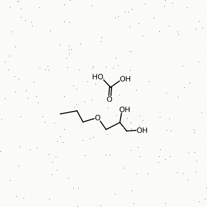 CCCOCC(O)CO.O=C(O)O